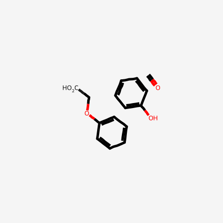 C=O.O=C(O)COc1ccccc1.Oc1ccccc1